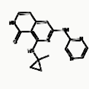 CC1(Nc2nc(Nc3cnccn3)cc3cc[nH]c(=O)c23)CC1